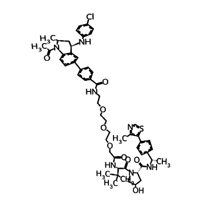 CC(=O)N1c2ccc(-c3ccc(C(=O)NCCOCCOCCOCC(=O)N[C@H](C(=O)N4C[C@H](O)C[C@H]4C(=O)N[C@@H](C)c4ccc(-c5scnc5C)cc4)C(C)(C)C)cc3)cc2[C@H](Nc2ccc(Cl)cc2)C[C@@H]1C